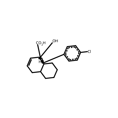 O=C(O)C1=C2C=CCC3CCCCC23NC(c2ccc(Cl)cc2)=C1O